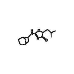 CC(C)CC1OC(NC2CC3CCC2C3)=NC1=O